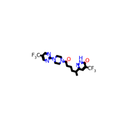 CC(CCCC(=O)N1CCN(c2ncc(C(F)(F)F)cn2)CC1)c1cc(C(F)(F)F)c(=O)[nH]n1